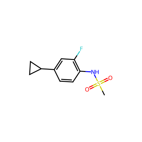 CS(=O)(=O)Nc1ccc(C2CC2)cc1F